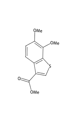 COC(=O)c1csc2c(OC)c(OC)ccc12